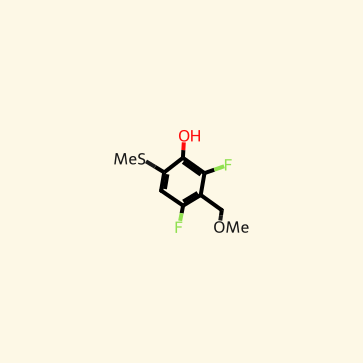 COCc1c(F)cc(SC)c(O)c1F